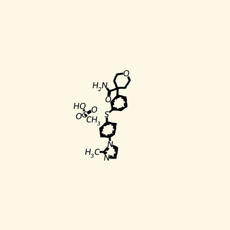 CS(=O)(=O)O.Cc1nccn1-c1ccc(Sc2cccc(C3(C(N)=O)CCOCC3)c2)cc1